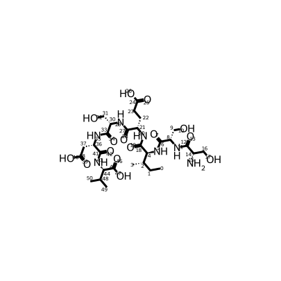 CC[C@H](C)[C@H](NC(=O)[C@H](CO)NC(=O)[C@@H](N)CO)C(=O)N[C@@H](CCC(=O)O)C(=O)N[C@@H](CO)C(=O)N[C@@H](CC(=O)O)C(=O)N[C@H](C(=O)O)C(C)C